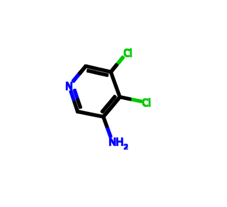 Nc1cncc(Cl)c1Cl